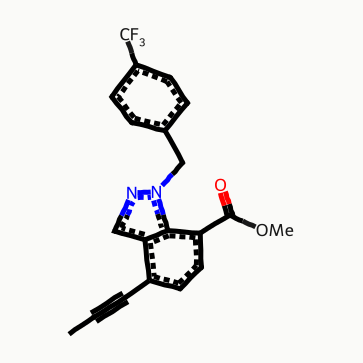 CC#Cc1ccc(C(=O)OC)c2c1cnn2Cc1ccc(C(F)(F)F)cc1